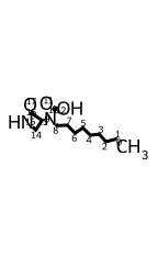 CCCCCCCCCN(C(=O)O)[C@H]1CNC1=O